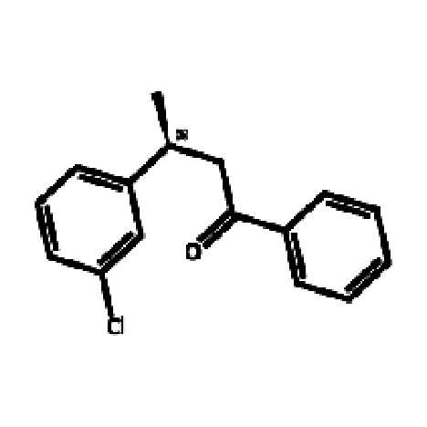 C[C@@H](CC(=O)c1ccccc1)c1cccc(Cl)c1